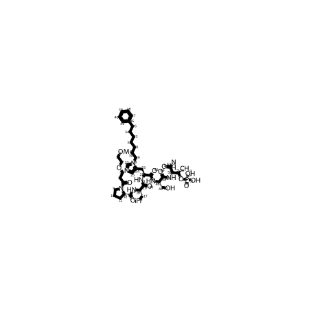 COCCOCCC(=O)N1CCC[C@H]1C(=O)N[C@@H](CC(C)C)C(=O)N[C@@H](Cc1cncn1CCCCCCCc1ccccc1)C(=O)N[C@@H](CO)C(=O)N[C@H](C(N)=O)[C@@H](C)OP(=O)(O)O